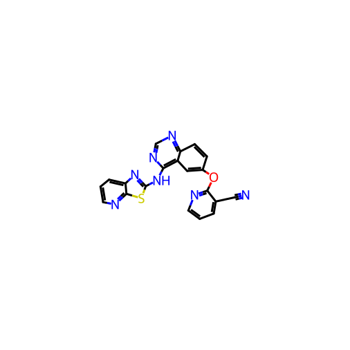 N#Cc1cccnc1Oc1ccc2ncnc(Nc3nc4cccnc4s3)c2c1